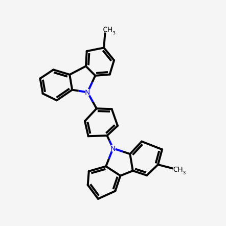 Cc1ccc2c(c1)c1ccccc1n2-c1ccc(-n2c3ccccc3c3cc(C)ccc32)cc1